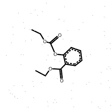 [CH2]COC(=O)Oc1ccccc1C(=O)OCC